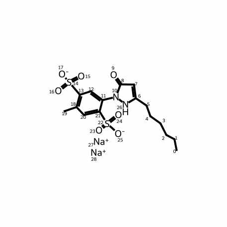 CCCCCCc1cc(=O)n(-c2cc(S(=O)(=O)[O-])c(C)cc2S(=O)(=O)[O-])[nH]1.[Na+].[Na+]